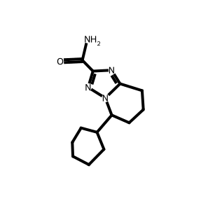 NC(=O)c1nc2n(n1)C(C1CCCCC1)CCC2